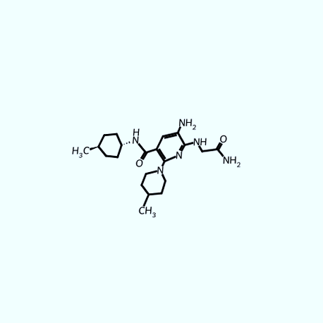 CC1CCN(c2nc(NCC(N)=O)c(N)cc2C(=O)N[C@H]2CC[C@H](C)CC2)CC1